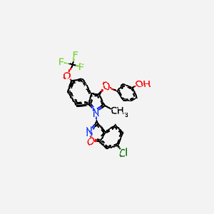 Cc1c(Oc2cccc(O)c2)c2cc(OC(F)(F)F)ccc2n1-c1noc2cc(Cl)ccc12